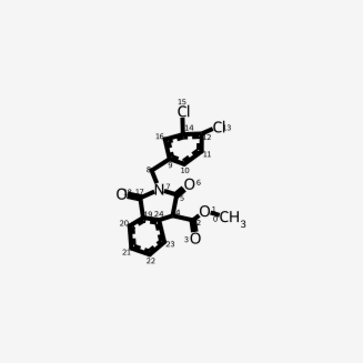 COC(=O)C1C(=O)N(Cc2ccc(Cl)c(Cl)c2)C(=O)c2ccccc21